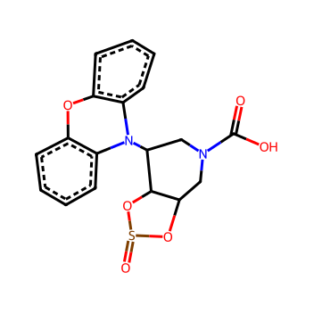 O=C(O)N1CC2OS(=O)OC2C(N2c3ccccc3Oc3ccccc32)C1